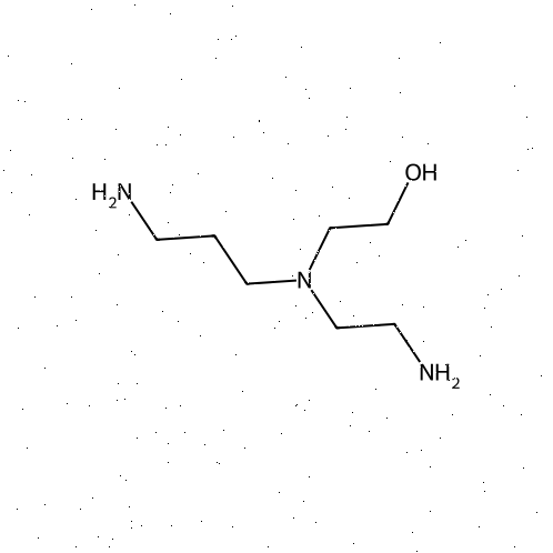 NCCCN(CCN)CCO